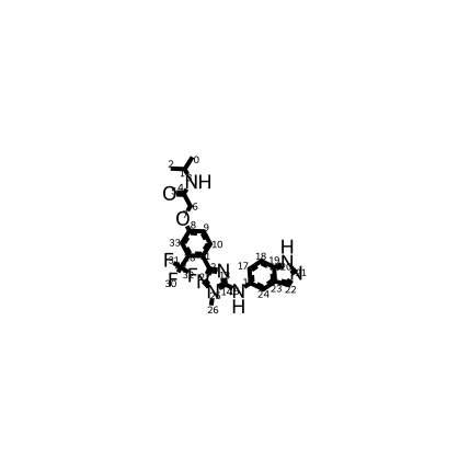 CC(C)NC(=O)COc1ccc(-c2nc(Nc3ccc4[nH]ncc4c3)n(C)n2)c(C(F)(F)F)c1